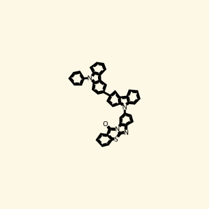 O=c1c2ccccc2sc2nc3ccc(-n4c5ccccc5c5cc(-c6ccc7c(c6)c6ccccc6n7-c6ccccc6)ccc54)cc3n12